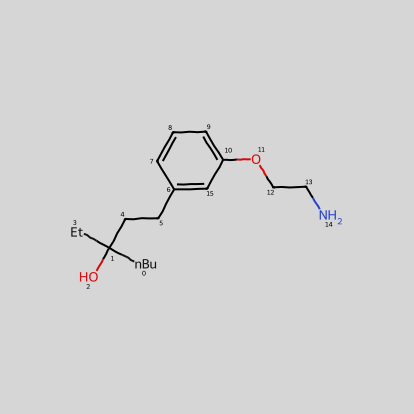 CCCCC(O)(CC)CCc1cccc(OCCN)c1